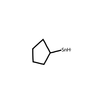 [SnH][CH]1CCCC1